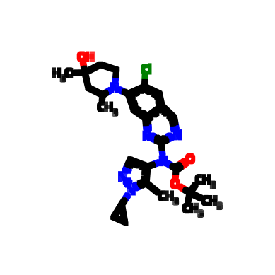 Cc1c(N(C(=O)OC(C)(C)C)c2ncc3cc(Cl)c(N4CCC(C)(O)CC4C)cc3n2)cnn1C1CC1